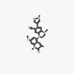 COc1cc(N2CCN(C)c3cc(-c4cnn(C)c4)c(C#N)cc32)c2cc(C)c(=O)n(C)c2c1